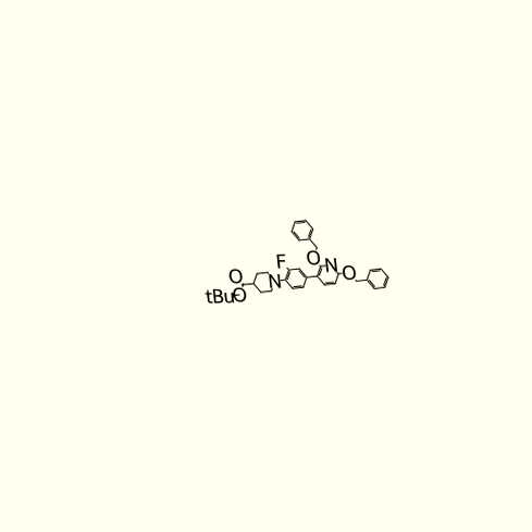 CC(C)(C)OC(=O)C1CCN(c2ccc(-c3ccc(OCc4ccccc4)nc3OCc3ccccc3)cc2F)CC1